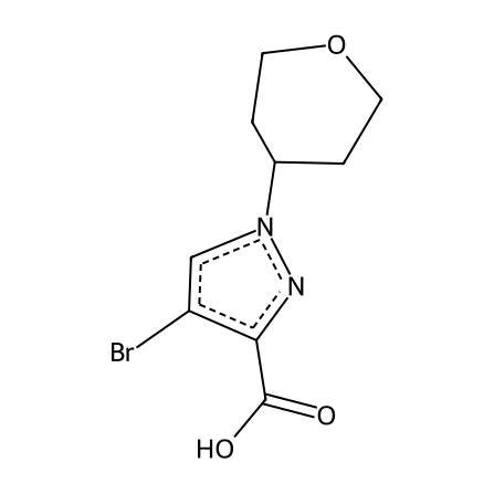 O=C(O)c1nn(C2CCOCC2)cc1Br